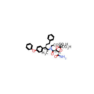 C[C@H]([C@H](CCc1ccccc1)c1ccc(Oc2ccccc2)cc1)N(CC(=O)O)C(=O)[C@H]1OC(C(=O)O)(C(=O)O)O[C@@H]1C(N)=O